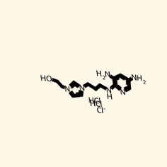 Cl.Cl.Nc1cnc(NCCCn2cc[n+](CCO)c2)c(N)c1.[Cl-]